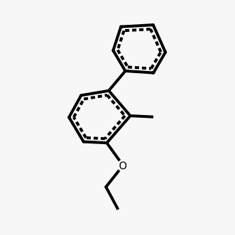 CCOc1cccc(-c2ccccc2)c1C